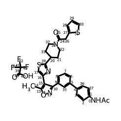 CC(=O)Nc1ccc(-c2cccc(-c3noc(C)c3-c3csc(C4CCN(C(=O)Cc5cccs5)CC4)n3)c2)cc1.O=C(O)C(F)(F)F